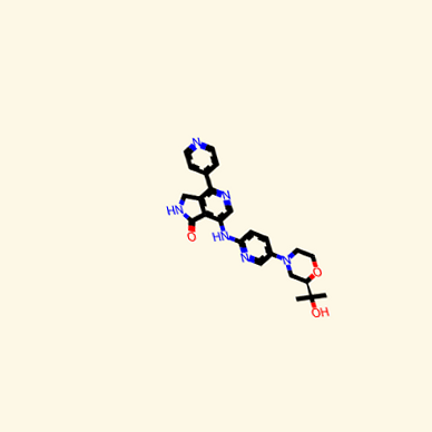 CC(C)(O)[C@H]1CN(c2ccc(Nc3cnc(-c4ccncc4)c4c3C(=O)NC4)nc2)CCO1